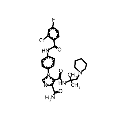 CC(C)(CN1CCCCC1)NC(=O)c1c(C(N)=O)ncn1-c1ccc(NC(=O)c2ccc(F)cc2Cl)cc1